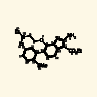 CCOC(=O)c1c(N)sc2c(OCCN(CC)CC)c(-c3ccccc3SC)ccc12